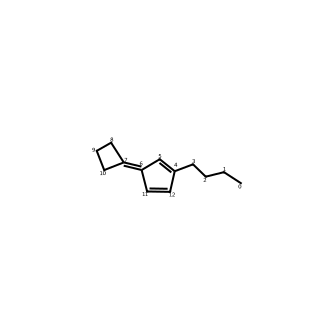 CCCCC1=CC(=C2CCC2)C=C1